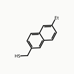 CCc1ccc2cc(CS)ccc2c1